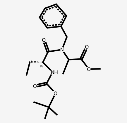 CC[C@@H](NC(=O)OC(C)(C)C)C(=O)N(Cc1ccccc1)C(C)C(=O)OC